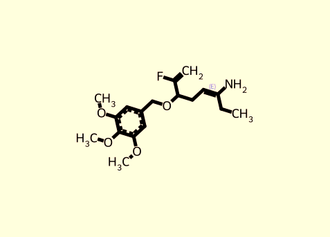 C=C(F)C(C/C=C(/N)CC)OCc1cc(OC)c(OC)c(OC)c1